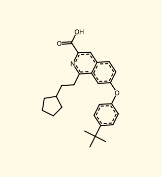 CC(C)(C)c1ccc(Oc2ccc3cc(C(=O)O)nc(CCC4CCCC4)c3c2)cc1